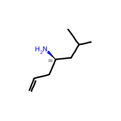 C=CC[C@@H](N)CC(C)C